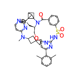 Cc1cccc(C)c1-c1cc2nc(n1)NS(=O)(=O)c1cccc(c1)C(=O)N(C13CC(C1)C3c1nccc(N(C)C3CC4(CC4)C3)n1)[C@H](CC(C)C)CO2